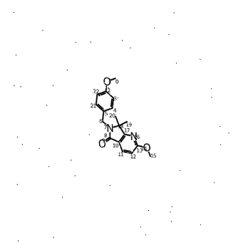 COc1ccc(CN2C(=O)c3ccc(OC)nc3C2(C)C)cc1